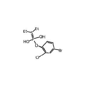 CCS(CC)=P(O)(O)Oc1ccc(Br)cc1Cl